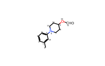 Cc1cccc(N2CCC(OC=O)CC2)c1